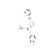 CC(C)(c1ccccn1)N1CC[C@@](CCc2ccc3nonc3c2)(C(=O)NC2(C(F)(F)F)CC2)C1